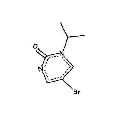 CC(C)n1cc(Br)cnc1=O